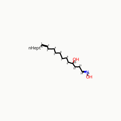 CCCCCCC/C=C\CCCCCCCC(O)CCC=NO